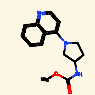 CC(C)(C)OC(=O)NC1CCN(c2ccnc3ccccc23)C1